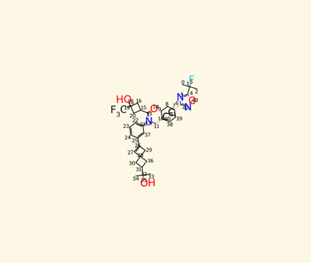 CC(C)(F)c1nc([C@]23CC[C@](CN(C(=O)C4CC(O)(C(F)(F)F)C4)c4cccc(C5=CC6(C5)CC(C(C)(C)O)C6)c4)(CC2)CC3)no1